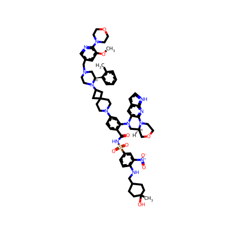 COc1cc(CN2CCN(C3CC4(CCN(c5ccc(C(=O)NS(=O)(=O)c6ccc(NCC7CCC(C)(O)CC7)c([N+](=O)[O-])c6)c(N6C[C@@H]7COCCN7c7nc8[nH]ccc8cc76)c5)CC4)C3)[C@H](c3ccccc3C)C2)cnc1N1CCOCC1